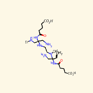 C=CC(CN)(NC(=O)CCCC(=O)O)N(C)CCNC(CN)(CNCC)NC(=O)CCCC(=O)O